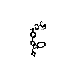 O=C(c1ccc(-c2ccc3c(c2)C2(CCCCCCCC2)NN3CC2CCC2)cc1)N1CCN(C(=O)C2(O)CC2)CC1